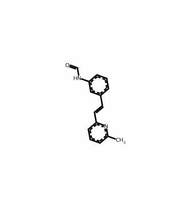 Cc1cccc(C=Cc2cccc(N[C]=O)c2)n1